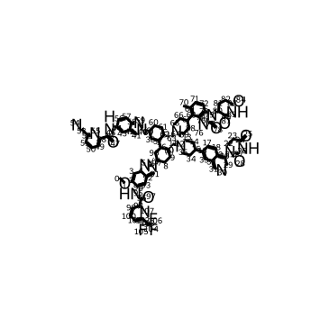 COc1cc2nn([C@H]3CC[C@H](CN4CCC(c5ccc6c(N7CCC(=O)NC7=O)cncc6c5)CC4)C(C4C[C@@H](n5cc6cc(NC(=O)c7cccc(C#N)n7)ccc6n5)CC[C@@H]4CN4CCC(c5c(C)ccc6c5n(C)c(=O)n6C5CCC(=O)NC5=O)CC4)C3)cc2cc1NC(=O)c1cccc(C(F)(F)F)n1